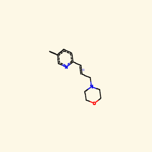 Cc1ccc(/C=C/CN2CCOCC2)nc1